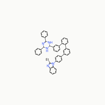 CCc1nc2ccccc2n1-c1ccc(-c2cccc(-c3ccccc3-c3cccc(C4NC(c5ccccc5)=NC(c5ccccc5)N4)c3)c2)cc1